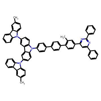 Cc1ccc2c(c1)c1ccccc1n2-c1ccc2c(c1)c1cc(-n3c4ccccc4c4cc(C)ccc43)ccc1n2-c1ccc(-c2ccc(-c3ccc(-c4cc(-c5ccccc5)nc(-c5ccccc5)n4)cc3C)cc2)cc1